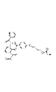 C=CC(=O)OCCCCOc1ccc(C(=O)Oc2c(OC(=O)c3ccccc3)cccc2C(=O)OC)cc1